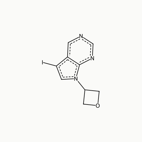 Ic1cn(C2COC2)c2ncncc12